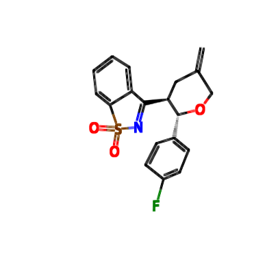 C=C1CO[C@H](c2ccc(F)cc2)[C@@H](C2=NS(=O)(=O)c3ccccc32)C1